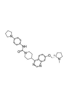 CN1CCC[C@H]1COc1ccc2c(C3CCN(C(=O)Nc4ccc(N5CCCC5)cc4)CC3)ncnc2c1